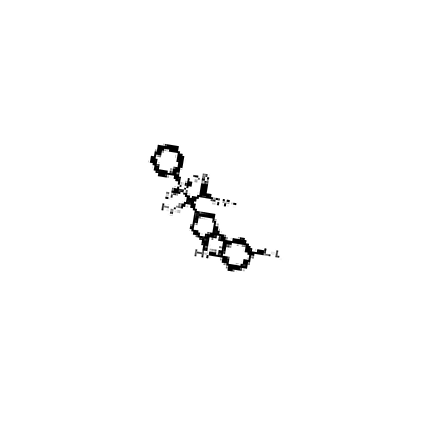 COC(=O)C(C)(C1Cc2[nH]c3ccc(C)cc3c2C1)S(=O)(=O)c1ccccc1